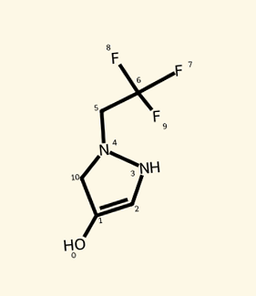 OC1=CNN(CC(F)(F)F)C1